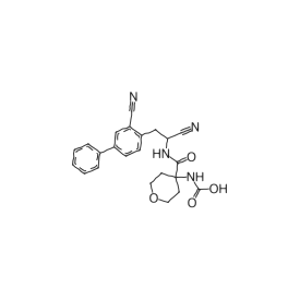 N#Cc1cc(-c2ccccc2)ccc1CC(C#N)NC(=O)C1(NC(=O)O)CCOCC1